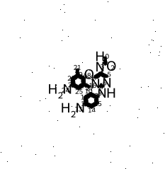 CC(=O)Nc1cnc(Nc2ccc(N)cc2)nc1Oc1c(C)cc(N)cc1C